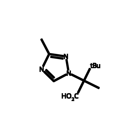 Cc1ncn(C(C)(C(=O)O)C(C)(C)C)n1